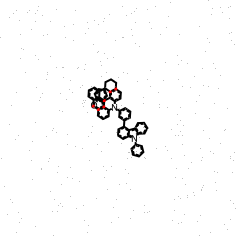 c1ccc(-n2c3ccccc3c3c(-c4cccc(N(c5ccccc5-c5cccc6cccc(C7CCCCC7)c56)c5cccc6oc7ccccc7c56)c4)cccc32)cc1